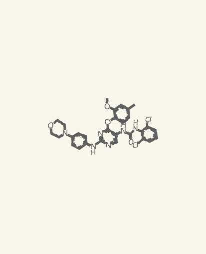 COc1cc(C)ccc1Oc1nc(Nc2ccc(N3CCOCC3)cc2)ncc1NC(=O)Nc1c(Cl)cccc1Cl